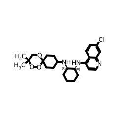 CC1(C)COC2(CCC(N[C@@H]3CCCC[C@H]3Nc3ccnc4cc(Cl)ccc34)CC2)OO1